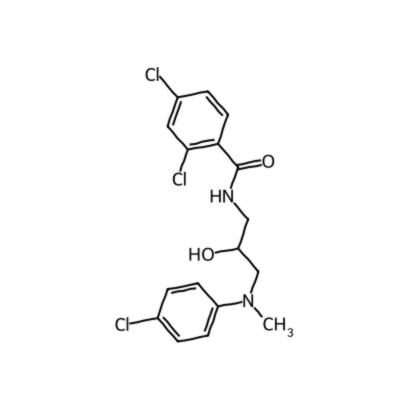 CN(CC(O)CNC(=O)c1ccc(Cl)cc1Cl)c1ccc(Cl)cc1